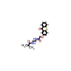 CC(C)C(=O)NCCNC(=O)COc1ccc2sc3ccccc3c(=O)c2c1